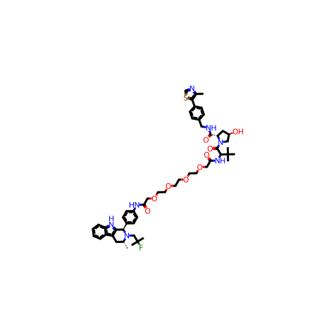 Cc1ncsc1-c1ccc(CNC(=O)[C@@H]2C[C@@H](O)CN2C(=O)C(NC(=O)COCCOCCOCCOCC(=O)Nc2ccc([C@@H]3c4[nH]c5ccccc5c4C[C@@H](C)N3CC(C)(C)F)cc2)C(C)(C)C)cc1